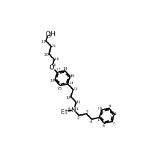 CCN(CCCc1ccccc1)CCCc1ccc(OCCCCO)cc1